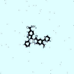 NC(=O)c1ccc2c(NC(=O)c3cc(-c4ncccn4)c(CF)cc3F)n(-c3ccccc3)nc2c1